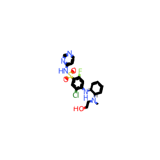 CN(CCO)[C@H]1CCCC[C@@H]1Nc1cc(F)c(S(=O)(=O)Nc2ccncn2)cc1Cl